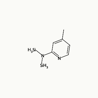 Cc1ccnc(N([SiH3])[SiH3])c1